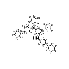 c1ccc(-c2ccc(Nc3cc(-c4ccccc4)cc(N(c4ccccc4)c4ccc(-c5ccccc5)cc4)c3)cc2)cc1